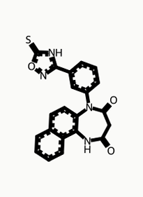 O=C1CC(=O)N(c2cccc(-c3noc(=S)[nH]3)c2)c2ccc3ccccc3c2N1